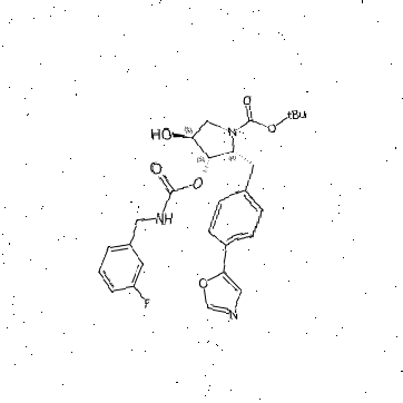 CC(C)(C)OC(=O)N1C[C@H](O)[C@@H](OC(=O)NCc2cccc(F)c2)[C@H]1Cc1ccc(-c2cnco2)cc1